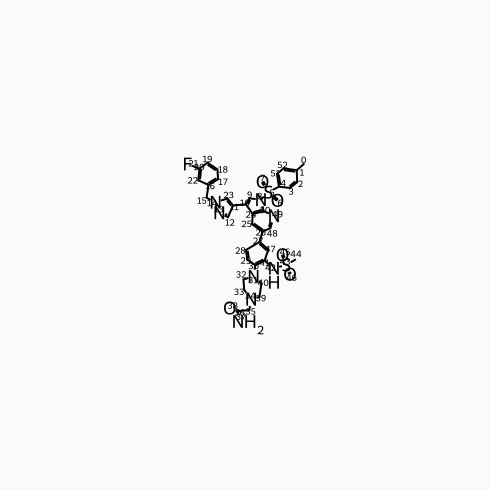 Cc1ccc(S(=O)(=O)n2cc(-c3cnn(Cc4cccc(F)c4)c3)c3cc(-c4ccc(N5CCN(CC(N)=O)CC5)c(NS(C)(=O)=O)c4)cnc32)cc1